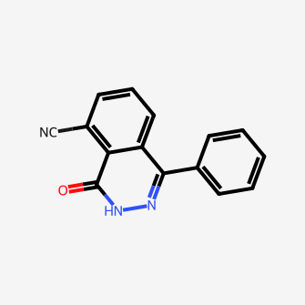 N#Cc1cccc2c(-c3ccccc3)n[nH]c(=O)c12